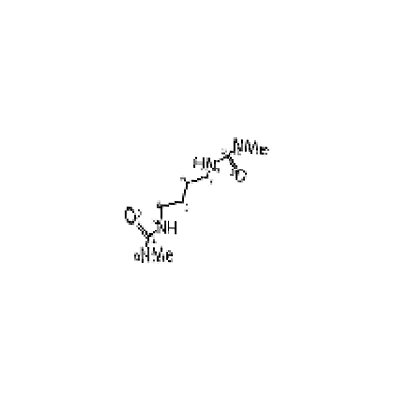 CNC(=O)NCCCCNC(=O)NC